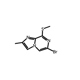 CSc1nc(Br)cn2cc(C)nc12